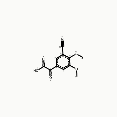 COc1cc(C(=O)C(=O)O)cc(C#N)c1OC